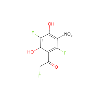 O=C(CF)c1c(O)c(F)c(O)c([N+](=O)[O-])c1F